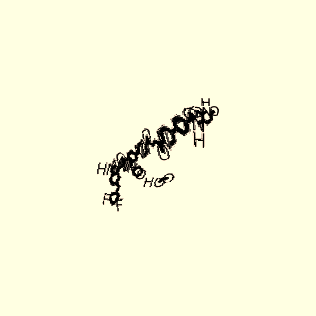 O=C1CCC(NC(=O)c2ccc(C3CCN(C(=O)CCC(=O)N4CCN(c5ccc(C(=O)Nc6n[nH]c7ccc(Cc8cc(F)cc(F)c8)cc67)c(NC6CCOCC6)c5)CC4)CC3)cc2)C(=O)N1.O=CO